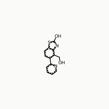 OCc1c(-c2ccccn2)ccc2sc(O)nc12